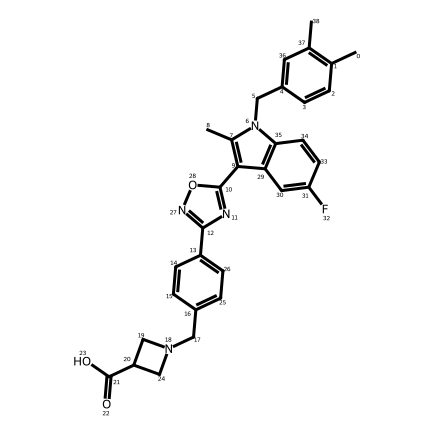 Cc1ccc(Cn2c(C)c(-c3nc(-c4ccc(CN5CC(C(=O)O)C5)cc4)no3)c3cc(F)ccc32)cc1C